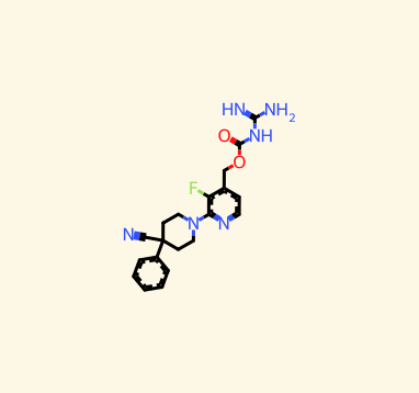 N#CC1(c2ccccc2)CCN(c2nccc(COC(=O)NC(=N)N)c2F)CC1